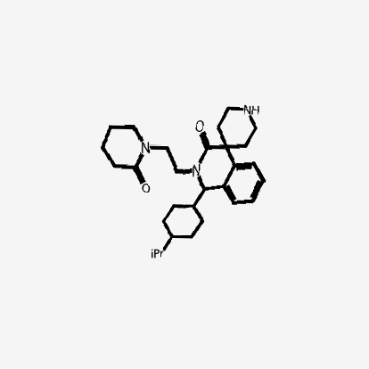 CC(C)C1CCC(C2c3ccccc3C3(CCNCC3)C(=O)N2CCN2CCCCC2=O)CC1